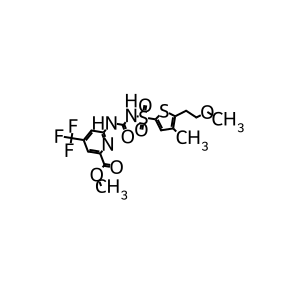 COCCc1sc(S(=O)(=O)NC(=O)Nc2cc(C(F)(F)F)cc(C(=O)OC)n2)cc1C